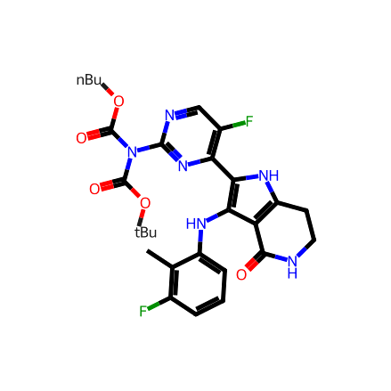 CCCCOC(=O)N(C(=O)OC(C)(C)C)c1ncc(F)c(-c2[nH]c3c(c2Nc2cccc(F)c2C)C(=O)NCC3)n1